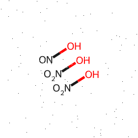 O=NO.O=[N+]([O-])O.O=[N+]([O-])O